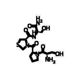 NC(=O)[C@H](CO)NC(=O)[C@@H]1CSCN1C(=O)[C@@H]1CCCN1C(=O)[C@@H](N)CO